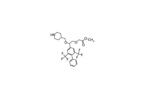 COC(=O)COCC(OCC1CCNCC1)c1cc(C(F)(F)F)c(-c2ccccc2)c(C(F)(F)F)c1